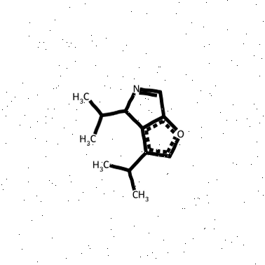 CC(C)c1coc2c1C(C(C)C)N=C2